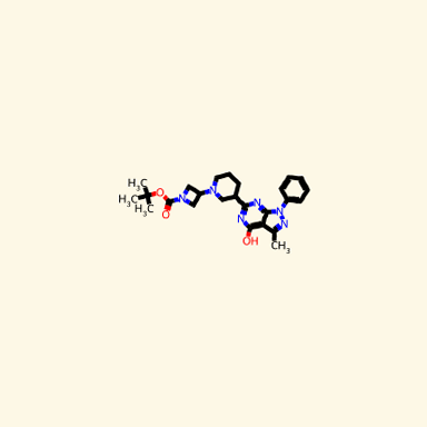 Cc1nn(-c2ccccc2)c2nc(C3CCCN(C4CN(C(=O)OC(C)(C)C)C4)C3)nc(O)c12